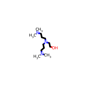 CN(C)CCCN(CCO)CCCN(C)C